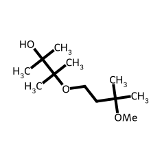 COC(C)(C)CCOC(C)(C)C(C)(C)O